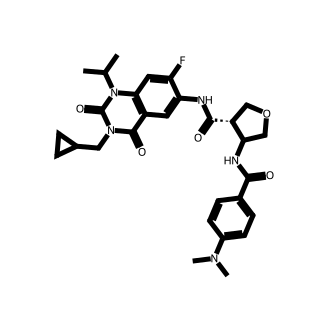 CC(C)n1c(=O)n(CC2CC2)c(=O)c2cc(NC(=O)[C@@H]3COCC3NC(=O)c3ccc(N(C)C)cc3)c(F)cc21